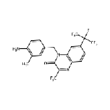 Cc1cc(Cn2c(=O)c(C(F)(F)F)nc3ccc(C(F)(C(F)(F)F)C(F)(F)F)cc32)ccc1N